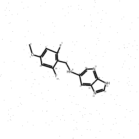 COc1cc(F)c(CNc2cnc3[nH]cnc3c2)c(F)c1